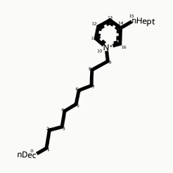 CCCCCCCCCCCCCCCCCCC[n+]1cccc(CCCCCCC)c1